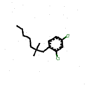 CCCCCC(C)(C)Cc1ccc(Cl)cc1Cl